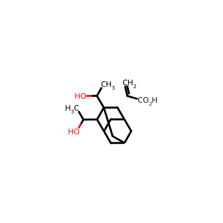 C=CC(=O)O.CC(O)C1C2CC3CC(C2)CC1(C(C)O)C3